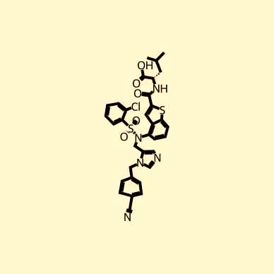 CC(C)C[C@H](NC(=O)c1cc2c(N(Cc3cncn3Cc3ccc(C#N)cc3)S(=O)(=O)c3ccccc3Cl)cccc2s1)C(=O)O